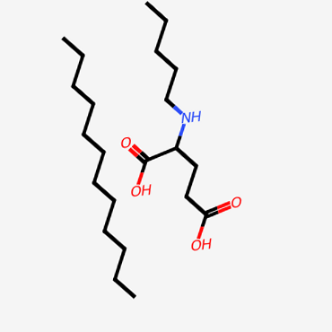 CCCCCCCCCCCC.CCCCCNC(CCC(=O)O)C(=O)O